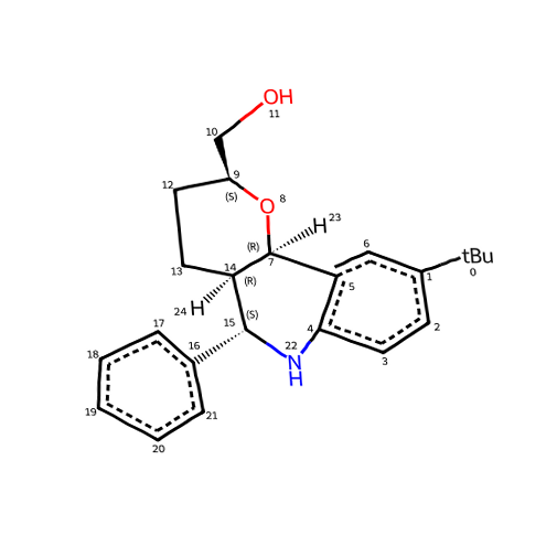 CC(C)(C)c1ccc2c(c1)[C@@H]1O[C@H](CO)CC[C@@H]1[C@@H](c1ccccc1)N2